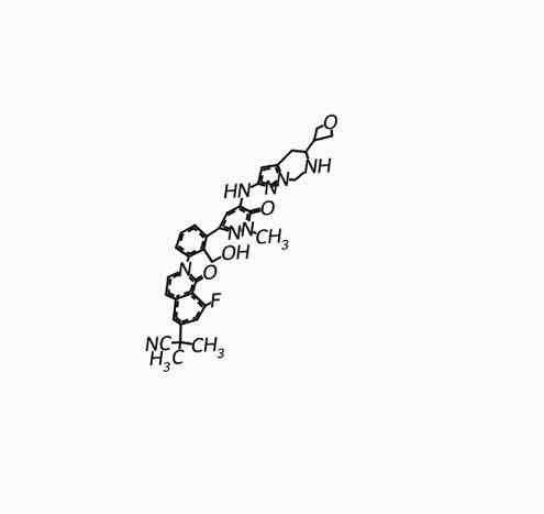 Cn1nc(-c2cccc(-n3ccc4cc(C(C)(C)C#N)cc(F)c4c3=O)c2CO)cc(Nc2cc3n(n2)CNC(C2COC2)C3)c1=O